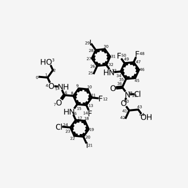 CC(CO)ONC(=O)c1ccc(F)c(F)c1Nc1ccc(I)cc1Cl.Cc1cc(I)ccc1Nc1c(C(=O)N(Cl)OC(C)CO)ccc(F)c1F